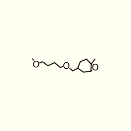 COCCCCOCC1CCC2(C)OC2C1